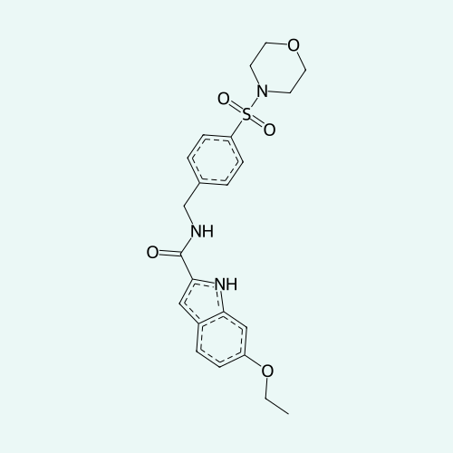 CCOc1ccc2cc(C(=O)NCc3ccc(S(=O)(=O)N4CCOCC4)cc3)[nH]c2c1